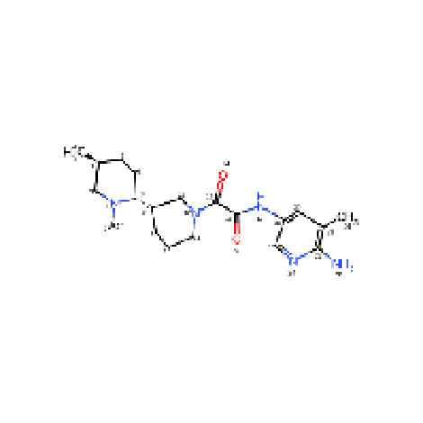 CC(=O)N1C[C@@H](C)CC[C@@H]1C1CCCN(C(=O)C(=O)Nc2cnc(N)c(C)c2)C1